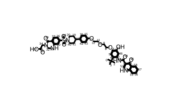 CC(C)(C)c1cc(OCCOCCOc2ccc(C3CCN(S(=O)(=O)c4ccc5c(c4)NCN(CC(=O)O)C5=O)CC3)cc2)c(O)cc1NC(=O)c1c[nH]c2ccccc2c1=O